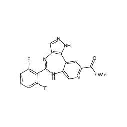 COC(=O)c1cc2c(cn1)NC(c1c(F)cccc1F)=Nc1cn[nH]c1-2